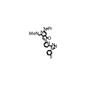 CNCc1nc(N(C)C(C)C)cc2c1CN(c1cccc(-c3nncn3-c3cccc(F)c3)n1)C2=O